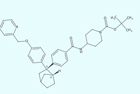 CC(C)(C)OC(=O)N1CCC(NC(=O)c2ccc([C@]3(c4ccc(OCc5ccccn5)cc4)CC4CC[C@@H]3C4)cc2)CC1